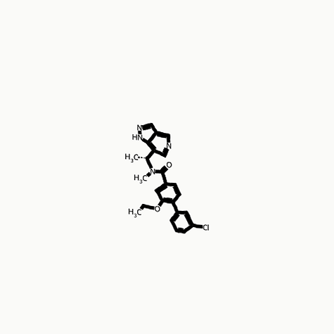 CCOc1cc(C(=O)N(C)[C@H](C)c2cncc3cn[nH]c23)ccc1-c1cccc(Cl)c1